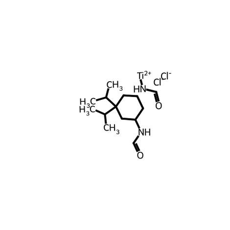 CC(C)C1(C(C)C)CCCC(NC=O)C1.O=C[NH][Ti+2].[Cl-].[Cl-]